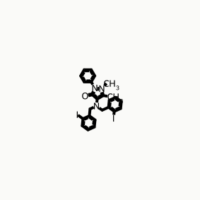 Cc1c(N(Cc2ccccc2I)Cc2ccccc2I)c(=O)n(-c2ccccc2)n1C